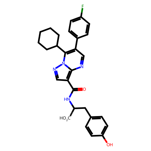 O=C(NC(Cc1ccc(O)cc1)C(=O)O)c1cnn2c(C3CCCCC3)c(-c3ccc(F)cc3)cnc12